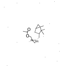 CC(=O)OC[C@]1(C)C[C@H]1CC1CC2CC2(C)C1(C)C